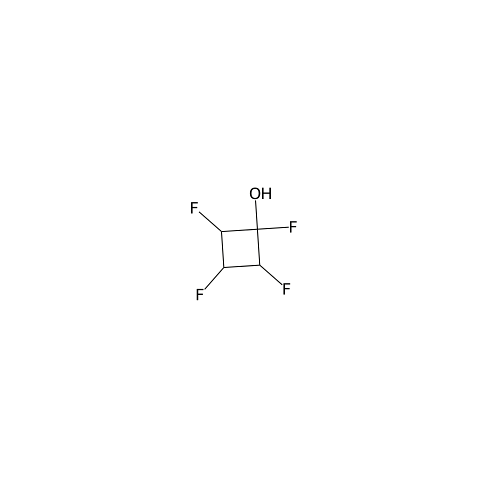 OC1(F)C(F)C(F)C1F